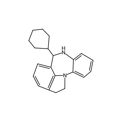 c1ccc2c(c1)NC(C1CCCCC1)c1cccc3c1N2CC3